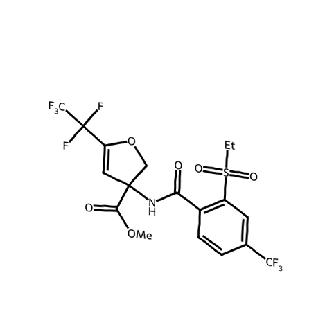 CCS(=O)(=O)c1cc(C(F)(F)F)ccc1C(=O)NC1(C(=O)OC)C=C(C(F)(F)C(F)(F)F)OC1